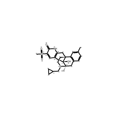 Cc1ccc2c(c1)[C@]13CCN(CC4CC4)[C@H](C2)[C@]1(O)Cc1cc(S(C)(=O)=O)c(=O)[nH]c1C3